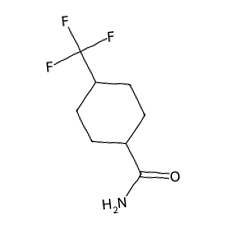 NC(=O)C1CCC(C(F)(F)F)CC1